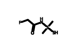 CS(C)(S)NC(=O)CF